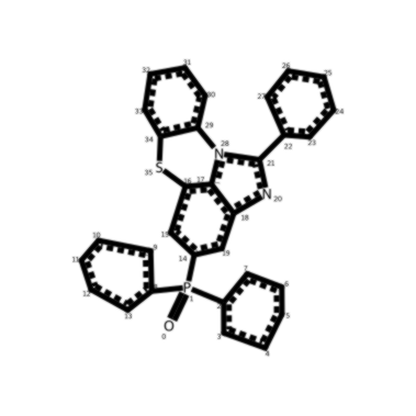 O=P(c1ccccc1)(c1ccccc1)c1cc2c3c(c1)nc(-c1ccccc1)n3-c1ccccc1S2